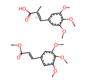 COC(=O)C=Cc1cc(OC)c(OC)c(OC)c1.COc1cc(/C=C(\C)C(=O)O)cc(OC)c1OC